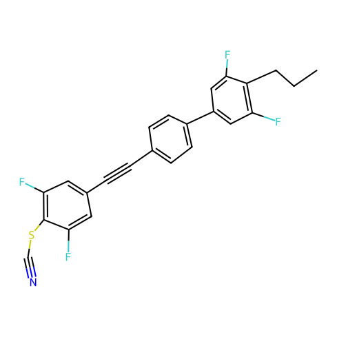 CCCc1c(F)cc(-c2ccc(C#Cc3cc(F)c(SC#N)c(F)c3)cc2)cc1F